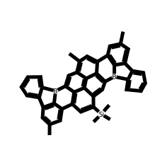 Cc1cc2c3c(c1)-c1cc(C)c4cc5c6c(cc([Si](C)(C)C)c7cc(c1c4c76)B3c1ccccc1-2)-c1cc(C)cc2c1B5c1ccccc1-2